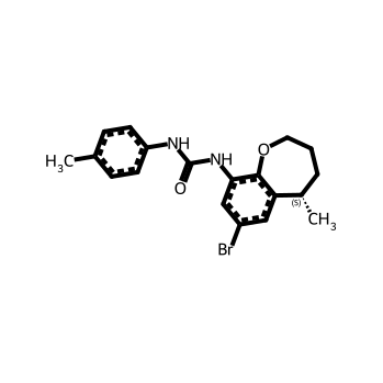 Cc1ccc(NC(=O)Nc2cc(Br)cc3c2OCCC[C@@H]3C)cc1